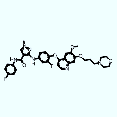 COc1cc2c(Oc3ccc(Nc4nn(C)cc4C(=O)Nc4ccc(F)cc4)cc3F)ccnc2cc1OCCCN1CCOCC1